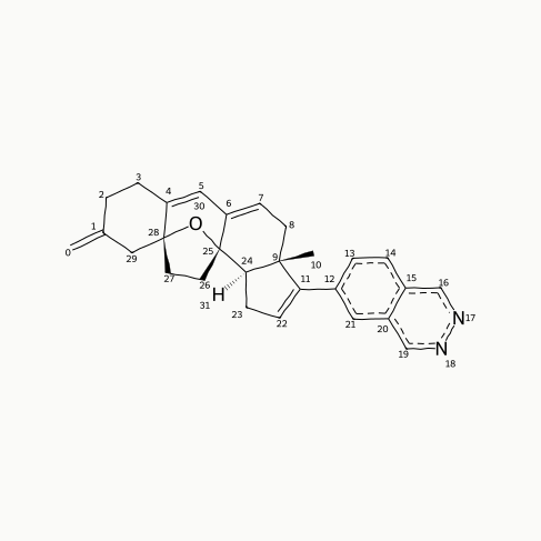 C=C1CCC2=CC3=CC[C@]4(C)C(c5ccc6cnncc6c5)=CC[C@H]4[C@@]34CC[C@]2(C1)O4